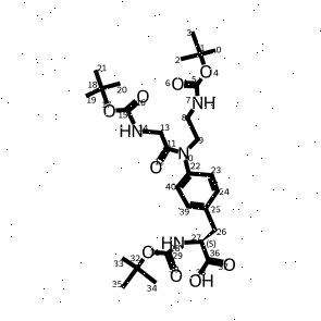 CC(C)(C)OC(=O)NCCN(C(=O)CNC(=O)OC(C)(C)C)c1ccc(C[C@H](NC(=O)OC(C)(C)C)C(=O)O)cc1